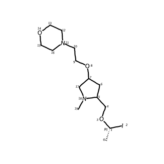 C[C@@H](I)OCC1CC(OCCN2CCOCC2)CN1C